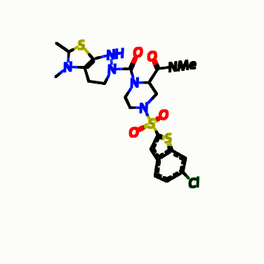 CNC(=O)C1CN(S(=O)(=O)c2cc3ccc(Cl)cc3s2)CCN1C(=O)N1CCC2=C(N1)SC(C)N2C